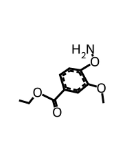 CCOC(=O)c1ccc(ON)c(OC)c1